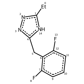 CCc1nnc(Cc2c(F)cccc2F)[nH]1